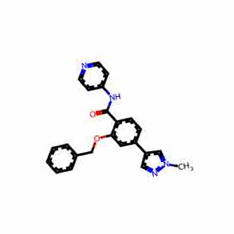 Cn1cc(-c2ccc(C(=O)Nc3ccncc3)c(OCc3ccccc3)c2)cn1